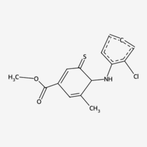 COC(=O)C1=CC(=S)C(Nc2ccccc2Cl)C(C)=C1